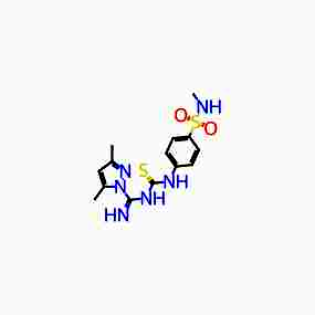 CNS(=O)(=O)c1ccc(NC(=S)NC(=N)n2nc(C)cc2C)cc1